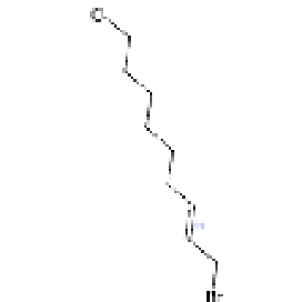 ClCCCCCC/C=C/CBr